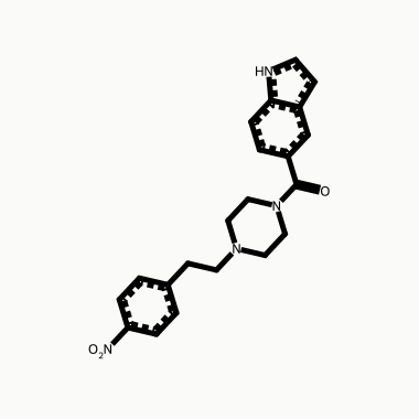 O=C(c1ccc2[nH]ccc2c1)N1CCN(CCc2ccc([N+](=O)[O-])cc2)CC1